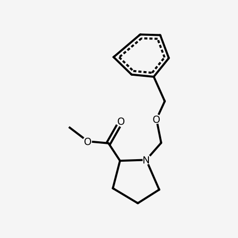 COC(=O)C1CCCN1COCc1ccccc1